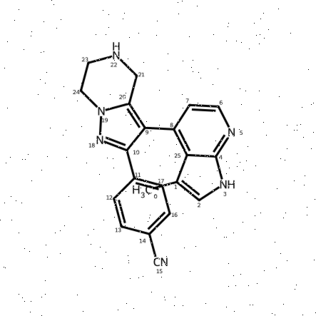 Cc1c[nH]c2nccc(-c3c(-c4ccc(C#N)cc4)nn4c3CNCC4)c12